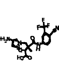 CC(Cn1cc(N)cn1)(C(=O)Nc1ccc(C#N)c(C(F)(F)F)c1)[C@H](Cl)C(=O)O